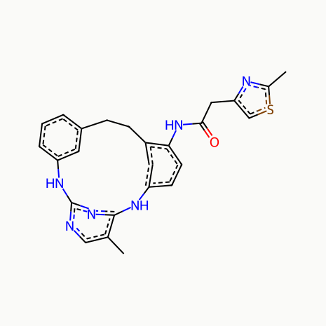 Cc1nc(CC(=O)Nc2ccc3cc2CCc2cccc(c2)Nc2ncc(C)c(n2)N3)cs1